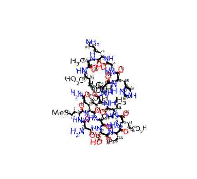 CSCC[C@H](NC(=O)[C@@H](N)CO)C(=O)N[C@@H](CCC(N)=O)C(=O)N[C@@H](C)C(=O)N[C@@H](CO)C(=O)N[C@@H](CC(C)C)C(=O)N[C@@H](CCC(=O)O)C(=O)N[C@@H](C)C(=O)N[C@@H](CCC(=O)O)C(=O)N[C@@H](C)C(=O)N[C@@H](Cc1c[nH]cn1)C(=O)NCC(=O)N[C@@H](CCCCN)C(=O)N[C@@H](C)C(=O)N[C@@H](CCC(=O)O)C(=O)O